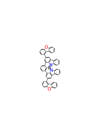 c1cc2c3c(c1)-c1cc(-c4cccc5oc6ccccc6c45)cc4c5ccccc5n(c14)B3n1c3ccccc3c3cc(-c4cccc5oc6ccccc6c45)cc-2c31